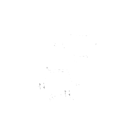 Cc1ccccc1-c1cn[c]nc1